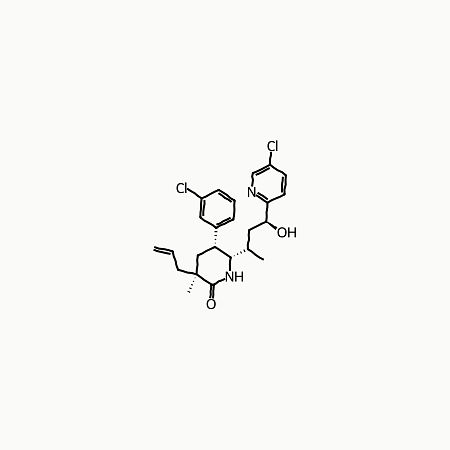 C=CC[C@@]1(C)C[C@H](c2cccc(Cl)c2)[C@H](C(C)C[C@H](O)c2ccc(Cl)cn2)NC1=O